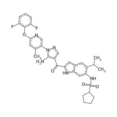 Cc1cc(Oc2c(F)cccc2F)ncc1-n1ncc(C(=O)c2cc3cc(C(C)C)c(NS(=O)(=O)C4CCCC4)cc3[nH]2)c1N